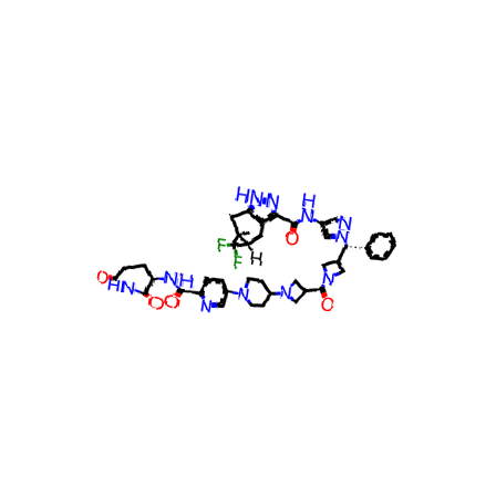 C[C@@]12Cc3[nH]nc(C(=O)Nc4cnn([C@H](c5ccccc5)C5CN(C(=O)C6CN(C7CCN(c8ccc(C(=O)NC9CCC(=O)NC9=O)nc8)CC7)C6)C5)c4)c3C[C@@H]1C2(F)F